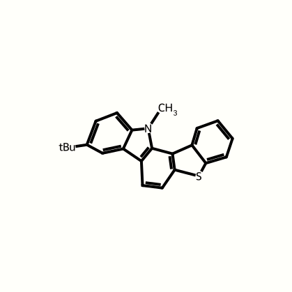 Cn1c2ccc(C(C)(C)C)cc2c2ccc3sc4ccccc4c3c21